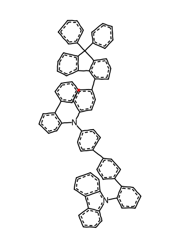 c1ccc(-c2ccccc2N(c2ccc(-c3ccc(-c4ccccc4-n4c5ccccc5c5ccccc54)cc3)cc2)c2ccc(-c3cccc4c3-c3ccccc3C4(c3ccccc3)c3ccccc3)cc2)cc1